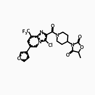 CC1OC(=O)N(C2CCN(C(=O)c3nc4c(C(F)(F)F)cc(-c5ccoc5)cn4c3Cl)CC2)C1=O